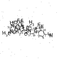 C[C@@H]1CN(c2ccc(C#N)cc2C(F)(F)F)CCN1S(=O)(=O)c1ccc(C(O)(C(=O)/N=C\N(C)C)C(F)(F)F)s1